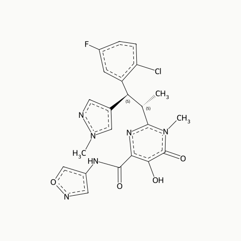 C[C@H](c1nc(C(=O)Nc2cnoc2)c(O)c(=O)n1C)[C@@H](c1cnn(C)c1)c1cc(F)ccc1Cl